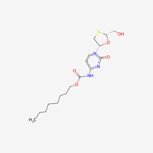 CCCCCCCCOC(=O)Nc1ccn([C@@H]2CS[C@H](CO)O2)c(=O)n1